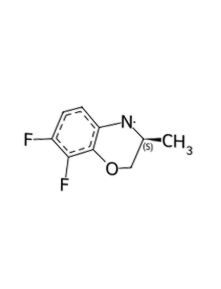 C[C@H]1COc2c(ccc(F)c2F)[N]1